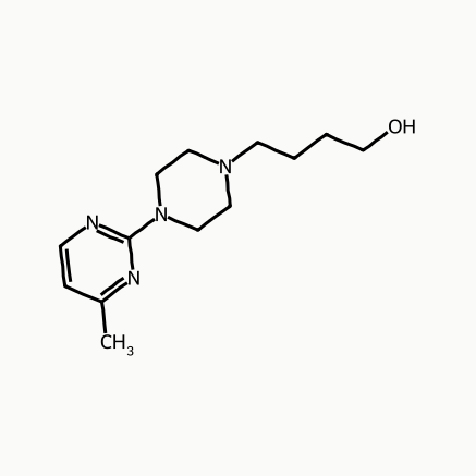 Cc1ccnc(N2CCN(CCCCO)CC2)n1